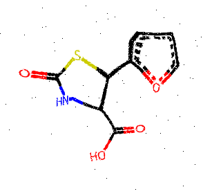 O=C1NC(C(=O)O)C(c2ccco2)S1